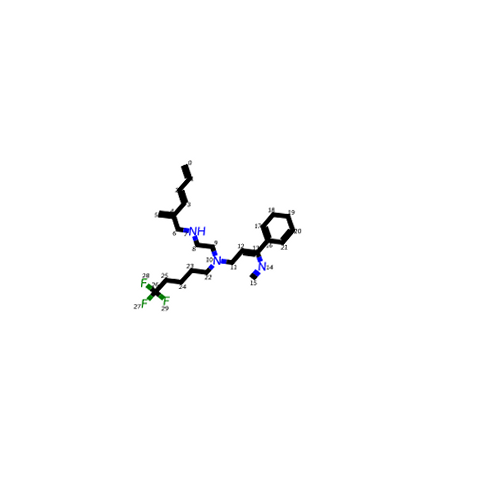 C=C/C=C/C(=C)CNCCN(C/C=C(\N=C)C1=CCCC=C1)CCCCC(F)(F)F